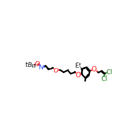 CCc1cc(OCC=C(Cl)Cl)cc(C)c1OCCCCCOCCC=NOC(C)(C)C